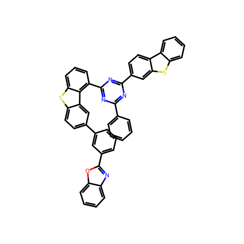 c1ccc(-c2nc(-c3ccc4c(c3)sc3ccccc34)nc(-c3cccc4sc5ccc(-c6cccc(-c7nc8ccccc8o7)c6)cc5c34)n2)cc1